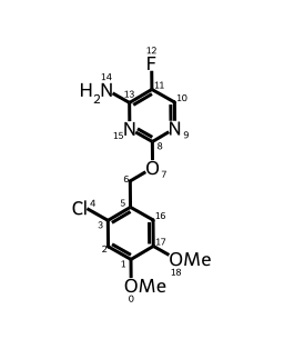 COc1cc(Cl)c(COc2ncc(F)c(N)n2)cc1OC